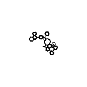 CC(C)C1C/C=C(N(c2ccccc2)c2ccc(-c3cc4c(c5ccccc35)CCC=C4)cc2)\C=C/[C@H](C)c2c1c1ccccc1c1c2oc2cccc(-c3ccccc3)c21